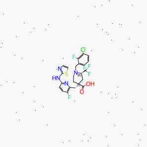 O=C(O)[C@@]1(Cc2nc(Nc3nccs3)ccc2F)CCN(Cc2cccc(Cl)c2F)[C@@H](C(F)(F)F)C1